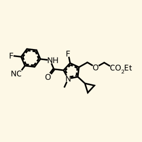 CCOC(=O)COCc1c(F)c(C(=O)Nc2ccc(F)c(C#N)c2)n(C)c1C1CC1